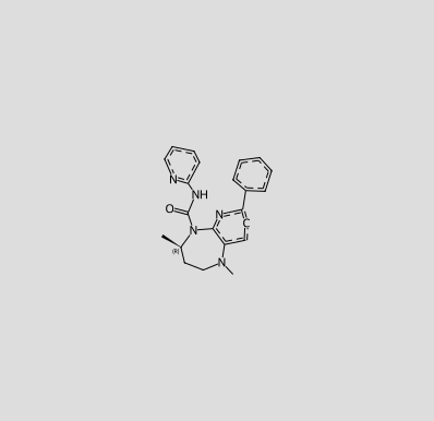 C[C@@H]1CCN(C)c2ccc(-c3ccccc3)nc2N1C(=O)Nc1ccccn1